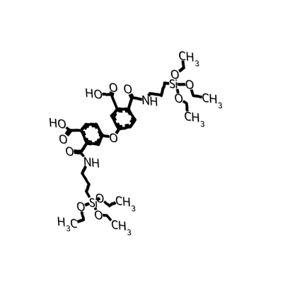 CCO[Si](CCCNC(=O)c1ccc(Oc2ccc(C(=O)O)c(C(=O)NCCC[Si](OCC)(OCC)OCC)c2)cc1C(=O)O)(OCC)OCC